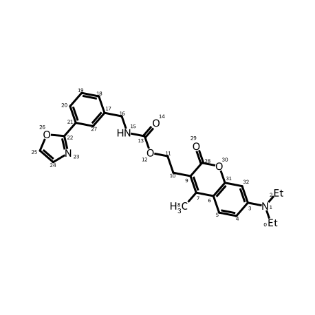 CCN(CC)c1ccc2c(C)c(CCOC(=O)NCc3cccc(-c4ncco4)c3)c(=O)oc2c1